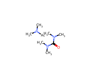 CC(=O)N(C)C.CN(C)C(=O)N(C)C